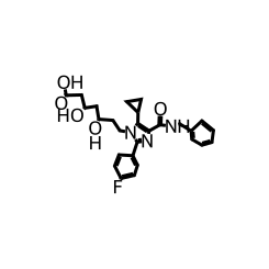 O=C(O)CC(O)CC(O)CCn1c(-c2ccc(F)cc2)nc(C(=O)NCc2ccccc2)c1C1CC1